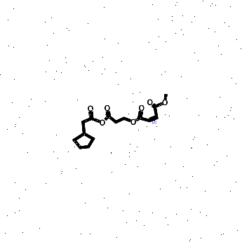 COC(=O)/C=C\C(=O)OCCC(=O)OC(=O)CC1CCCC1